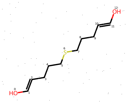 OC=CCCCSCCCC=CO